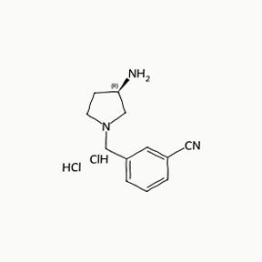 Cl.Cl.N#Cc1cccc(CN2CC[C@@H](N)C2)c1